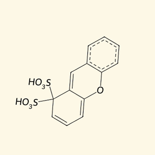 O=S(=O)(O)C1(S(=O)(=O)O)C=CC=C2Oc3ccccc3C=C21